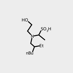 CCCCC(CC)CN(CCO)C(C)S(=O)(=O)O